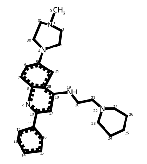 CN1CCN(c2ccc3nc(-c4ccccc4)cc(NCCN4CCCCC4)c3c2)CC1